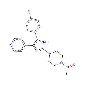 CC(=O)N1CCC(c2cc(-c3ccncc3)c(-c3ccc(F)cc3)[nH]2)CC1